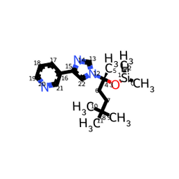 C[SiH](C)O[C@](C)(CCC(C)(C)C)n1cnc(-c2cccnc2)c1